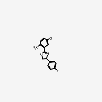 Cc1ccc(Cl)cc1C1=NC(c2ccc(F)cc2)CO1